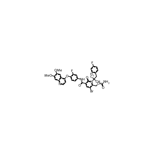 COc1cc2nccc(Oc3ccc(NC(=O)c4cc(Br)c(COC(N)=O)n(C(C)(C)Cc5ccc(F)cc5)c4=O)cc3F)c2cc1OC